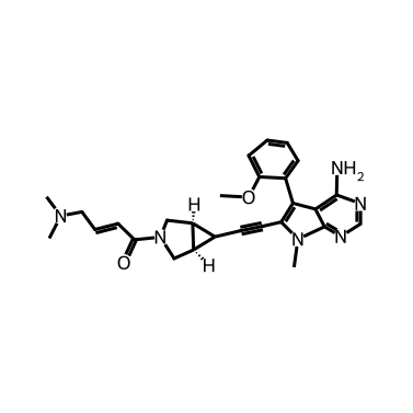 COc1ccccc1-c1c(C#CC2[C@H]3CN(C(=O)/C=C/CN(C)C)C[C@@H]23)n(C)c2ncnc(N)c12